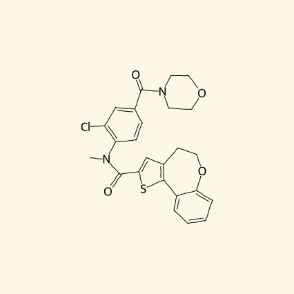 CN(C(=O)c1cc2c(s1)-c1ccccc1OCC2)c1ccc(C(=O)N2CCOCC2)cc1Cl